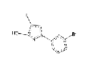 Oc1nn(-c2cccc(Br)c2)cc1I